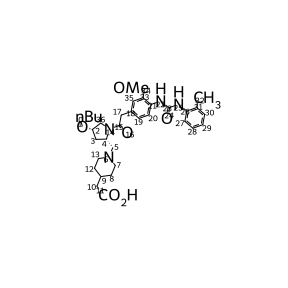 CCCCO[C@H]1C[C@@H](CN2CCC(CC(=O)O)CC2)N(C(=O)Cc2ccc(NC(=O)Nc3ccccc3C)c(OC)c2)C1